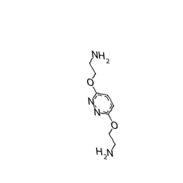 NCCOc1ccc(OCCN)nn1